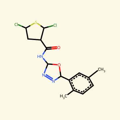 Cc1ccc(C)c(C2N=NC(NC(=O)C3CC(Cl)SC3Cl)O2)c1